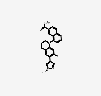 CNC(=O)c1ccc2cccc(N3CCCc4cc(-c5cnn(C)c5)c(I)cc43)c2c1